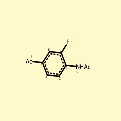 CC(=O)Nc1ccc(C(C)=O)cc1F